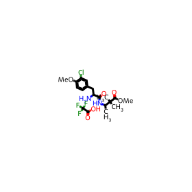 COC(=O)C(C)(C)C(C)NC(=O)C(N)Cc1ccc(OC)c(Cl)c1.O=C(O)C(F)(F)F